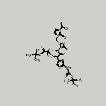 CC(C)(C)OC(=O)Nc1nc(C(=NOC(C)(C)C(=O)OC(C)(C)C)C(=O)N[C@@H]2C(=O)N[C@@H]2Cn2ccn(C(=O)O)c2=O)cs1